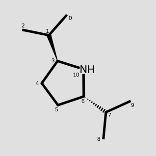 CC(C)[C@@H]1CC[C@@H](C(C)C)N1